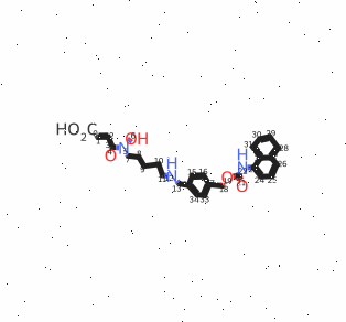 O=C(O)/C=C/C(=O)N(O)CCCCCNCc1ccc(COC(=O)Nc2cccc3ccccc23)cc1